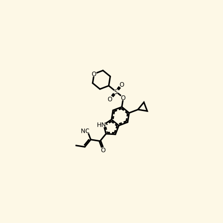 C/C=C(\C#N)C(=O)c1cc2cc(C3CC3)c(OS(=O)(=O)C3CCOCC3)cc2[nH]1